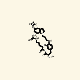 CO[C@@H](Cc1ccc(NCCCn2ccc3cc(OS(C)(=O)=O)ccc32)cc1)C(=O)OC(=O)[C@@H](N)CCCNC(=N)N